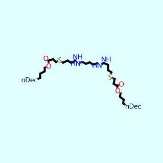 CCCCCCCCCCCCCCOC(=O)CCSCCCC(=N)NCCCCCNC(=N)CCCSCCC(=O)OCCCCCCCCCCCCCC